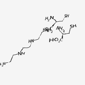 NCCNCCNCCN.N[C@@H](CS)C(=O)O.N[C@@H](CS)C(=O)O